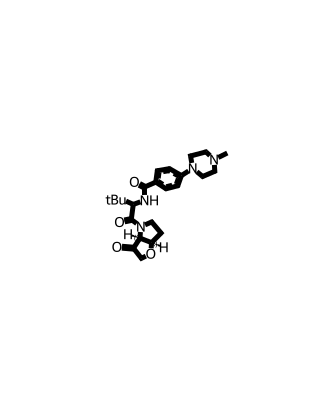 CN1CCN(c2ccc(C(=O)NC(C(=O)N3CC[C@H]4OCC(=O)[C@H]43)C(C)(C)C)cc2)CC1